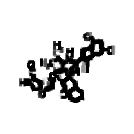 CC(C)[C@H](NC(=O)c1cc2c(Cl)cc(Cl)cc2[nH]1)C(=C=O)N[C@@H](CC1CCCCC1)C(=C=O)N[C@H](C=C=O)C[C@@H]1CCNC1=C=O